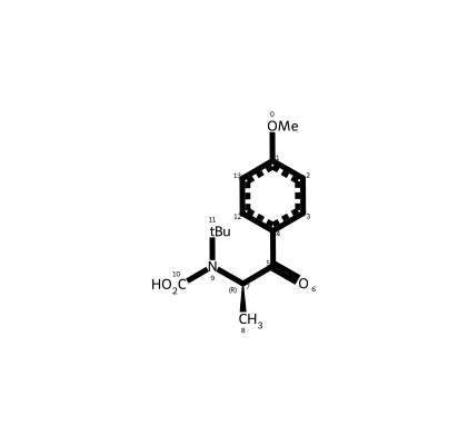 COc1ccc(C(=O)[C@@H](C)N(C(=O)O)C(C)(C)C)cc1